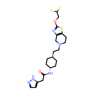 O=C(Cc1ccn[nH]1)N[C@H]1CC[C@H](CCN2CCc3sc(OCC(F)F)nc3C2)CC1